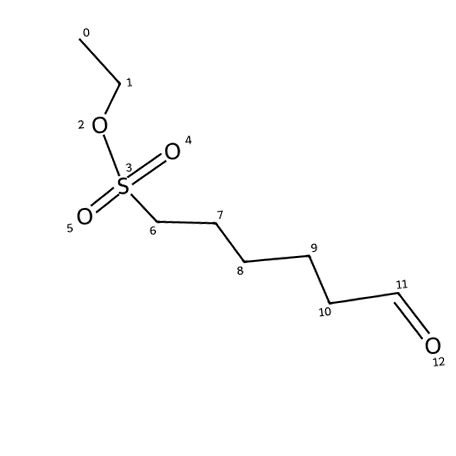 CCOS(=O)(=O)CCCCCC=O